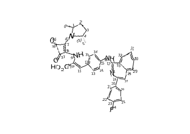 CC1CC[C@H](C)N1c1c(NC(=Cc2ccc(Nc3nc(-c4ccc(F)cc4)cc4ccccc34)cc2)C(=O)O)c(=O)c1=O